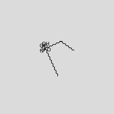 CCCCCCCC/C=C\CCCCCCCCC(C[N+](C)(C)C)(OP(=O)([O-])O)C(=O)CCCCCCCCCCCCCCC